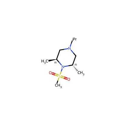 CC(C)N1C[C@H](C)N(S(C)(=O)=O)[C@@H](C)C1